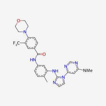 CNc1cc(-n2ccnc2Nc2cc(NC(=O)c3ccc(N4CCOCC4)c(C(F)(F)F)c3)ccc2C)ncn1